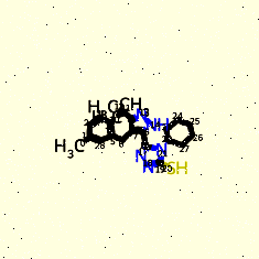 Cc1cccc(Cc2c(C(C)(C)C)n[nH]c2-c2nnc(S)n2C2CCCCC2)c1